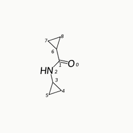 O=C(NC1CC1)C1CC1